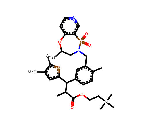 CCC1CN(Cc2cc(C(c3cc(OC)c(C(C)=O)s3)C(C)C(=O)OCC[Si](C)(C)C)ccc2C)S(=O)(=O)c2cnccc2O1